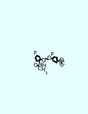 CC(=O)Nc1ccc(F)cc1OCCOc1ccc([N+](=O)[O-])cc1F